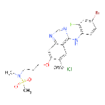 COc1cc2c(Nc3ccc(Br)cc3F)ncnc2cc1OCCCN(C)S(C)(=O)=O.Cl